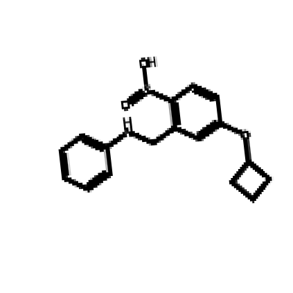 O=S(O)c1ccc(OC2CCC2)cc1CNc1ccccc1